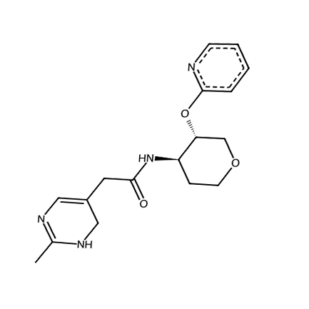 CC1=NC=C(CC(=O)N[C@@H]2CCOC[C@H]2Oc2ccccn2)CN1